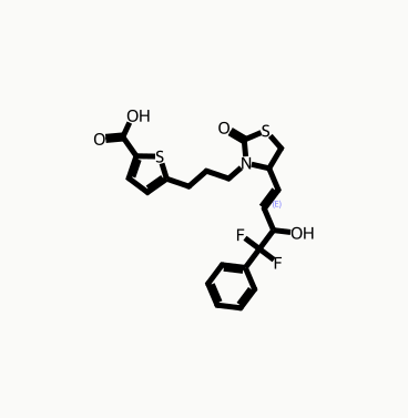 O=C(O)c1ccc(CCCN2C(=O)SCC2/C=C/C(O)C(F)(F)c2ccccc2)s1